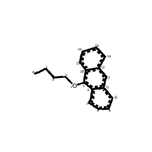 CCCCOc1c2ccccc2[c]c2ccccc12